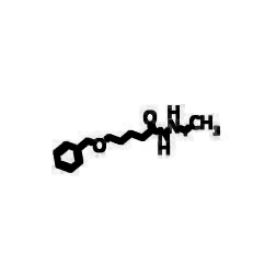 C[CH]NNC(=O)CCCCOCc1ccccc1